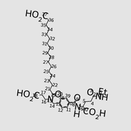 CCNC(=O)CCC(NC(=O)c1ccc(CN(CCC(=O)O)C(=O)CCCCCCCCCCCCCCCCC(=O)O)cc1)C(=O)O